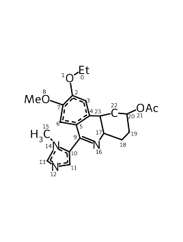 CCOc1cc2c(cc1OC)C(c1cncn1C)=NC1CCC(OC(C)=O)CC21